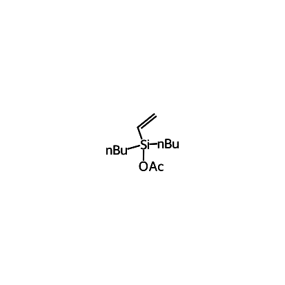 C=C[Si](CCCC)(CCCC)OC(C)=O